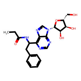 CCC(=O)NC(Cc1ccccc1)c1ncnc2c1ncn2[C@@H]1O[C@H](CO)[C@@H](O)[C@H]1O